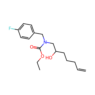 C=CCCCC(O)CN(Cc1ccc(F)cc1)C(=O)OCC